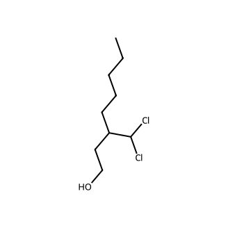 CCCCCC(CCO)C(Cl)Cl